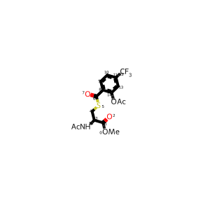 COC(=O)C(CSC(=O)c1ccc(C(F)(F)F)cc1OC(C)=O)NC(C)=O